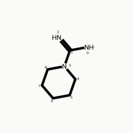 [NH]C(=N)N1CCCCC1